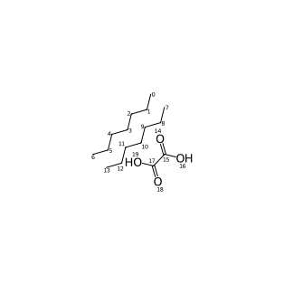 CCCCCCC.CCCCCCC.O=C(O)C(=O)O